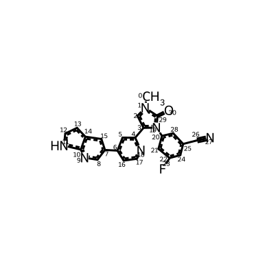 Cn1cc(-c2cc(-c3cnc4[nH]ccc4c3)ccn2)n(-c2cc(F)cc(C#N)c2)c1=O